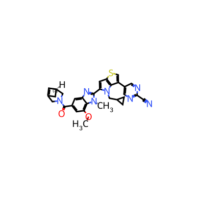 COc1cc(C(=O)N2CC3=C[C@H](C3)C2)cc2nc(-c3cc4scc(-c5cnc(C#N)nc5)c4n3CC3CC3)n(C)c12